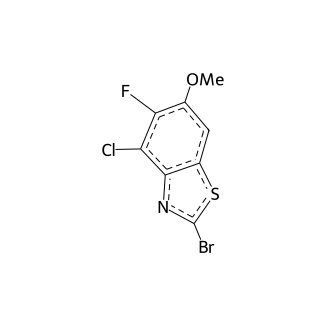 COc1cc2sc(Br)nc2c(Cl)c1F